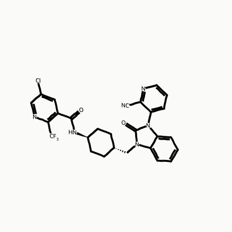 N#Cc1ncccc1-n1c(=O)n(C[C@H]2CC[C@H](NC(=O)c3cc(Cl)cnc3C(F)(F)F)CC2)c2ccccc21